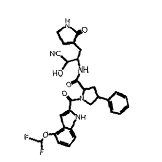 N#CC(O)C(CC1CCNC1=O)NC(=O)C1CC(c2ccccc2)CN1C(=O)c1cc2c(OC(F)F)cccc2[nH]1